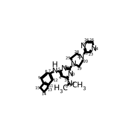 CN(C)c1cc(Nc2ccc3c(c2)CCC3)nc(N2CCN(c3cnccn3)CC2)n1